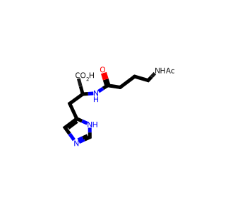 CC(=O)NCCCC(=O)NC(Cc1cnc[nH]1)C(=O)O